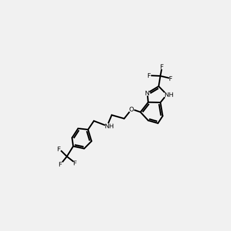 FC(F)(F)c1ccc(CNCCOc2cccc3[nH]c(C(F)(F)F)nc23)cc1